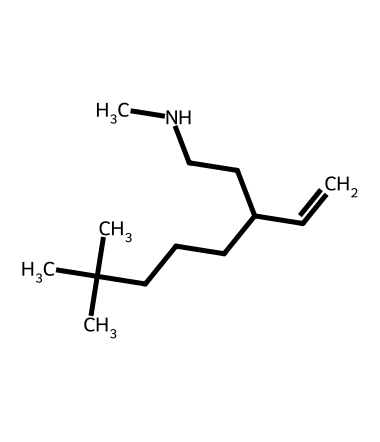 C=CC(CCCC(C)(C)C)CCNC